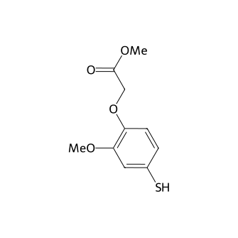 COC(=O)COc1ccc(S)cc1OC